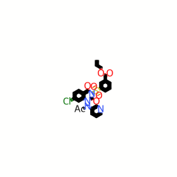 C=CCOC(=O)c1cccc(S(=O)(=O)n2c(=O)c3ccc(Cl)cc3n(N(C(C)=O)c3cccnc3)c2=O)c1